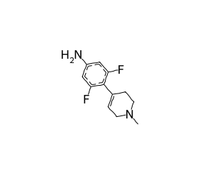 CN1CC=C(c2c(F)cc(N)cc2F)CC1